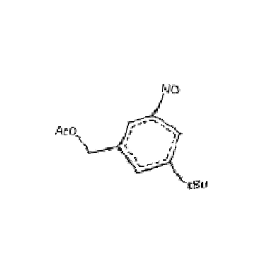 CC(=O)OCc1cc(N=O)cc(C(C)(C)C)c1